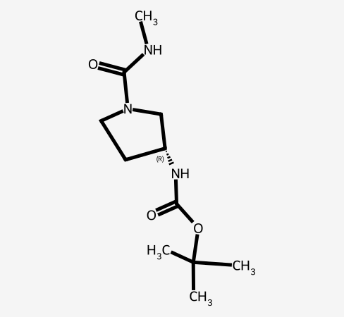 CNC(=O)N1CC[C@@H](NC(=O)OC(C)(C)C)C1